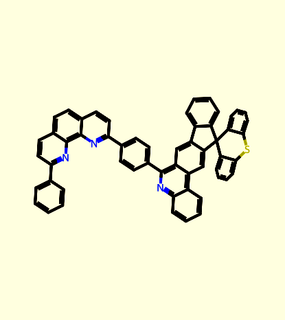 c1ccc(-c2ccc3ccc4ccc(-c5ccc(-c6nc7ccccc7c7cc8c(cc67)-c6ccccc6C86c7ccccc7Sc7ccccc76)cc5)nc4c3n2)cc1